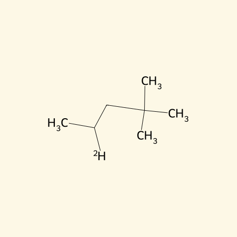 [2H]C(C)CC(C)(C)C